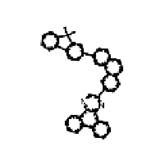 CC1(C)c2ccccc2-c2ccc(-c3ccc4ccc5ccc(-c6cnc7c8ccccc8c8ccccc8c7n6)cc5c4c3)cc21